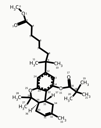 COC(=O)CCCCCC(C)(C)c1cc(OC(=O)C(C)(C)C)c2c(c1)OC(C)(C)[C@@H]1CC=C(C)C[C@@H]21